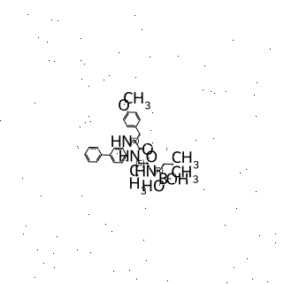 COc1ccc(C[C@H](Nc2cccc(-c3ccccc3)c2)C(=O)N[C@@H](C)C(=O)N[C@@H](CC(C)C)B(O)O)cc1